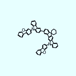 c1ccc2c(c1)oc1cc(-n3c4ccccc4c4cc(-c5ccc6c(c5)-c5cc7c(cc5C65CCCCC5)c5ccccc5n7-c5ccc6c(c5)oc5ccccc56)ccc43)ccc12